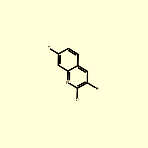 CCc1cc2ccc(F)cc2nc1Cl